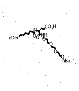 CCCCCCCCCCCCCCCC(=O)N[C@@H](CCC(=O)O)C(=O)NOCCOCCOCCOCCCC